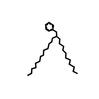 CCCCCCCCCCCCCC(CCCCCCCCCCC)Cc1cc[c]cc1